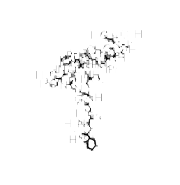 CC(C)C[C@H](NC(=O)[C@@H](NC(=O)CNC(=O)[C@H](CCC(N)=O)NC(=O)CNC(=O)[C@@H](N)Cc1c[nH]c2ccccc12)[C@@H](C)O)C(=O)N[C@H](C(=O)N[C@H](C(=O)N[C@H](C(=O)N[C@@H](CO)C(=O)N[C@@H](CO)C(=O)O)C(C)C)[C@@H](C)O)C(C)C